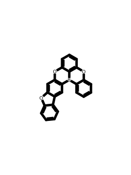 c1ccc2c(c1)Oc1cccc3c1B2c1cc2c(cc1O3)oc1ccccc12